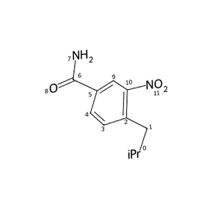 CC(C)Cc1ccc(C(N)=O)cc1[N+](=O)[O-]